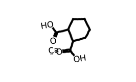 O=C(O)C1CCCCC1C(=O)O.[Ca]